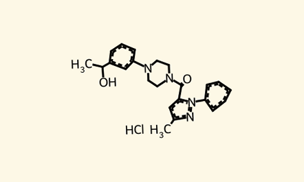 Cc1cc(C(=O)N2CCN(c3cccc(C(C)O)c3)CC2)n(-c2ccccc2)n1.Cl